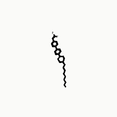 CCCCCCCCCC1CCC(c2ccc(-c3ccc(C=C(F)F)cc3)cc2)CC1